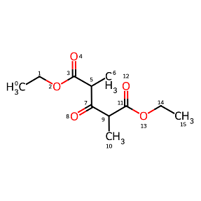 CCOC(=O)C(C)C(=O)C(C)C(=O)OCC